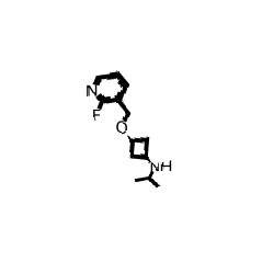 CC(C)N[C@H]1C[C@H](OCc2cccnc2F)C1